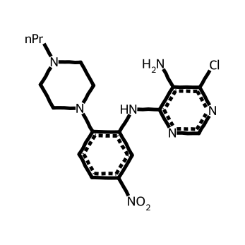 CCCN1CCN(c2ccc([N+](=O)[O-])cc2Nc2ncnc(Cl)c2N)CC1